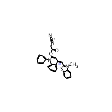 C[n+]1c(/C=C2/C=C(OC(=O)CN=[N+]=[N-])N(c3ccccc3)c3ccccc32)sc2ccccc21